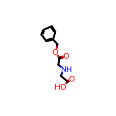 O=C(O)CNCC(=O)OCc1ccccc1